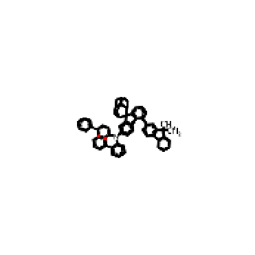 CC1(C)c2ccccc2-c2ccc(-c3cccc4c3-c3ccc(N(c5ccc(-c6ccccc6)cc5)c5ccccc5-c5ccccc5)cc3C43C4CC5CC(C4)CC3C5)cc21